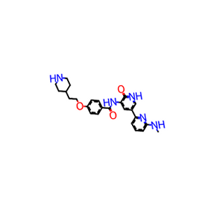 CNc1cccc(-c2c[nH]c(=O)c(NC(=O)c3ccc(OCCC4CCNCC4)cc3)c2)n1